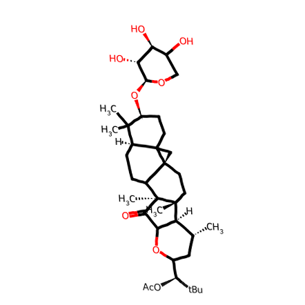 CC(=O)O[C@@H](C1C[C@@H](C)[C@H]2C(O1)C(=O)[C@@]1(C)C3CC[C@H]4C(C)(C)[C@@H](O[C@@H]5OCC(O)[C@H](O)[C@H]5O)CCC45C[C@@]35CC[C@]21C)C(C)(C)C